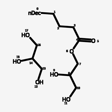 CCCCCCCCCCCCCC(=O)OCC(O)CO.OCC(O)CO